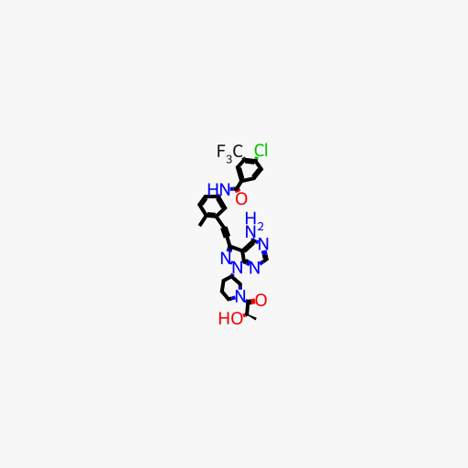 Cc1ccc(NC(=O)c2ccc(Cl)c(C(F)(F)F)c2)cc1C#Cc1nn(C2CCCN(C(=O)[C@@H](C)O)C2)c2ncnc(N)c12